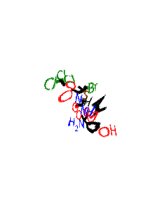 CC(OC(=O)C(N)(C(=O)NC1C(=O)N2C(C(=O)OCC(Cl)(Cl)Cl)C(C)(CBr)S[C@H]12)c1ccc(O)cc1)C1CC1